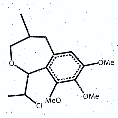 COc1cc2c(c(OC)c1OC)C(C(C)Cl)OCC(C)C2